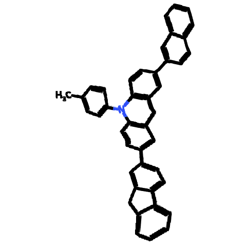 Cc1ccc(N2c3ccc(-c4ccc5c(c4)Cc4ccccc4-5)cc3Cc3cc(-c4ccc5ccccc5c4)ccc32)cc1